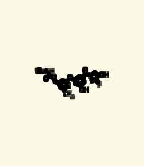 CC(C)(C)NC(=O)OCc1cc(Oc2cc(O)cc(C(=O)N3CC(O)C(F)C3)c2)nc(C(F)(F)F)c1